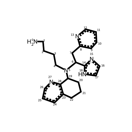 NCCCCN(C(Cc1ccccn1)c1ncc[nH]1)C1CCCc2cccnc21